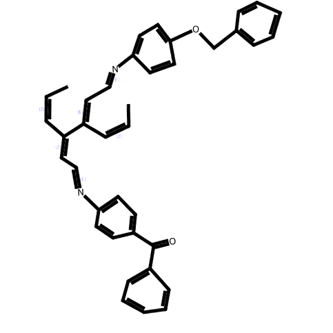 C\C=C/C(=C/C=N/c1ccc(C(=O)c2ccccc2)cc1)C(/C=C\C)=C/C=N/c1ccc(OCc2ccccc2)cc1